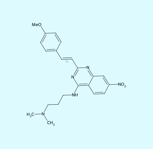 COc1ccc(/C=C/c2nc(NCCCN(C)C)c3ccc([N+](=O)[O-])cc3n2)cc1